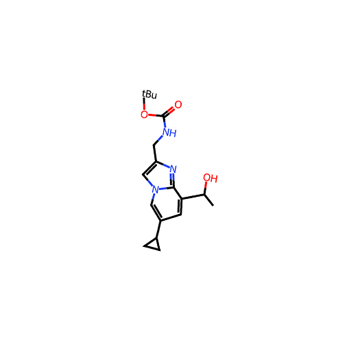 CC(O)c1cc(C2CC2)cn2cc(CNC(=O)OC(C)(C)C)nc12